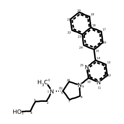 CN(CCCO)[C@H]1CCN(c2nccc(-c3ccc4ccccc4c3)n2)C1